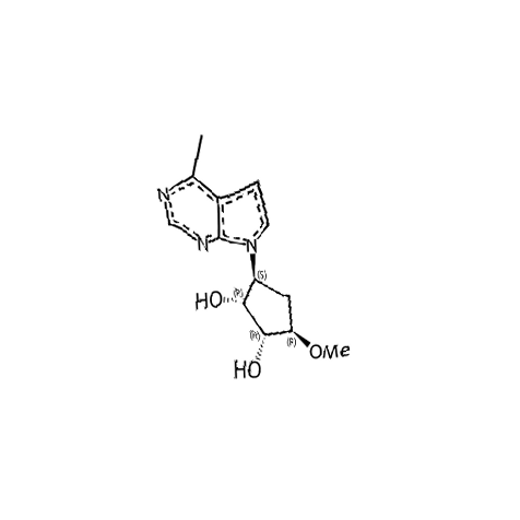 CO[C@@H]1C[C@H](n2ccc3c(C)ncnc32)[C@@H](O)[C@H]1O